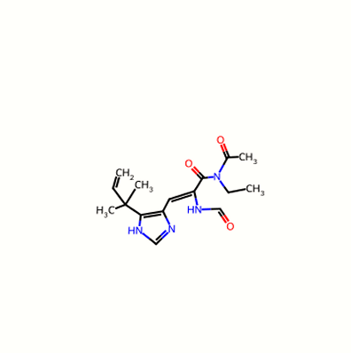 C=CC(C)(C)c1[nH]cnc1/C=C(\NC=O)C(=O)N(CC)C(C)=O